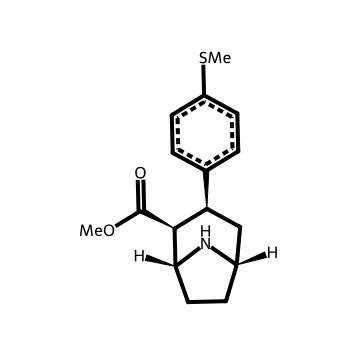 COC(=O)[C@H]1[C@@H](c2ccc(SC)cc2)C[C@@H]2CC[C@H]1N2